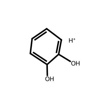 Oc1ccccc1O.[H+]